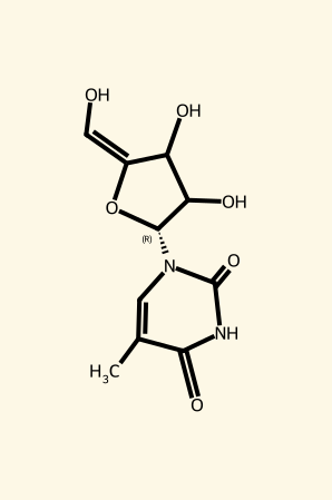 Cc1cn([C@@H]2OC(=CO)C(O)C2O)c(=O)[nH]c1=O